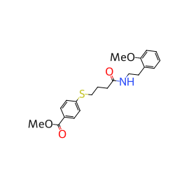 COC(=O)c1ccc(SCCCC(=O)NCCc2ccccc2OC)cc1